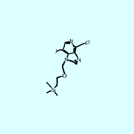 C[Si](C)(C)CCOCn1cnc2c(Cl)ncc(I)c21